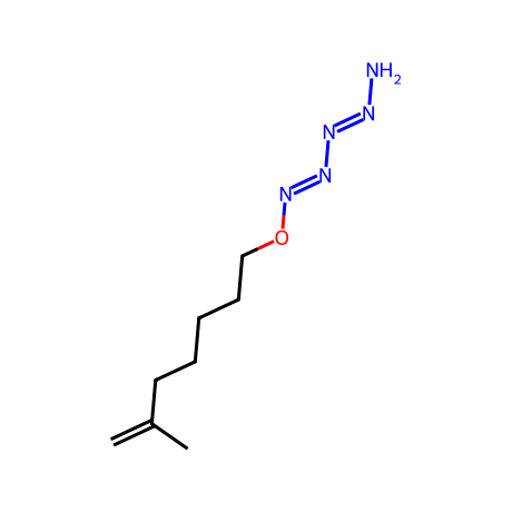 C=C(C)CCCCCON=NN=NN